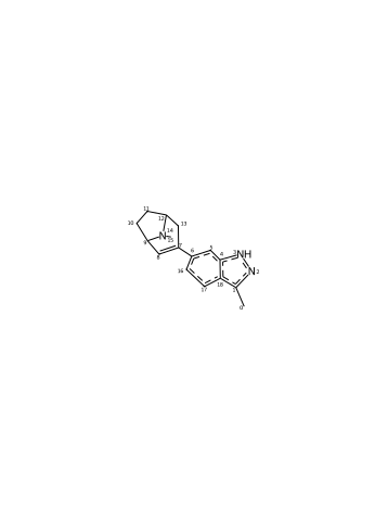 Cc1n[nH]c2cc(C3=CC4CCC(C3)N4C)ccc12